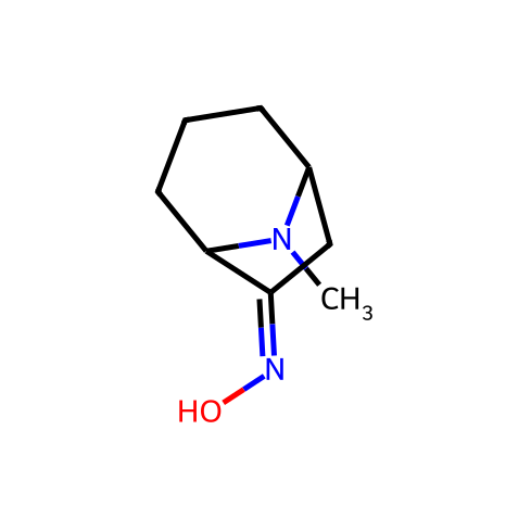 CN1C2CCCC1C(=NO)C2